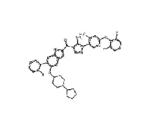 Cc1cc(Oc2c(F)cccc2F)ncc1-n1ncc(C(=O)c2cc3cc(OC4CCN(C5CCCC5)CC4)c(-c4ccccc4F)cc3[nH]2)c1N